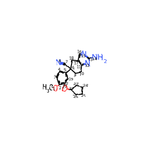 COc1ccc(C2(C#N)CCc3nc(N)ncc3C2)cc1OC1CCCC1